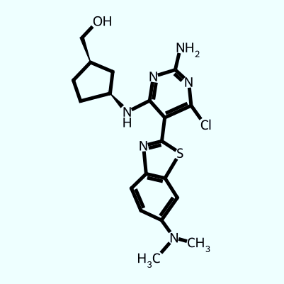 CN(C)c1ccc2nc(-c3c(Cl)nc(N)nc3N[C@H]3CC[C@@H](CO)C3)sc2c1